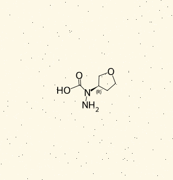 NN(C(=O)O)[C@@H]1CCOC1